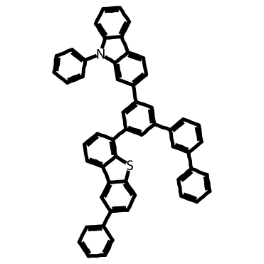 c1ccc(-c2cccc(-c3cc(-c4ccc5c6ccccc6n(-c6ccccc6)c5c4)cc(-c4cccc5c4sc4ccc(-c6ccccc6)cc45)c3)c2)cc1